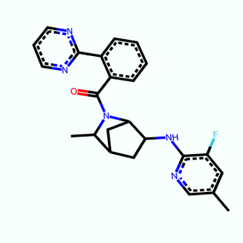 Cc1cnc(NC2CC3CC2N(C(=O)c2ccccc2-c2ncccn2)C3C)c(F)c1